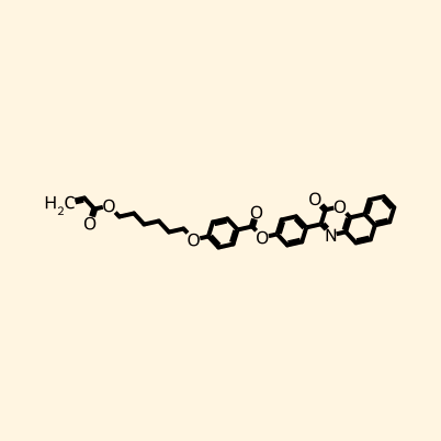 C=CC(=O)OCCCCCCOc1ccc(C(=O)Oc2ccc(-c3nc4ccc5ccccc5c4oc3=O)cc2)cc1